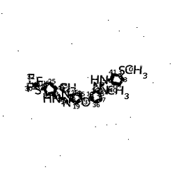 CSc1cccc(Nc2nc3cc(Oc4ccc5c(c4)nc(Nc4cccc(SC(F)(F)F)c4)n5C)ccc3n2C)c1